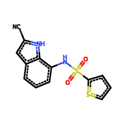 N#Cc1cc2cccc(NS(=O)(=O)c3cccs3)c2[nH]1